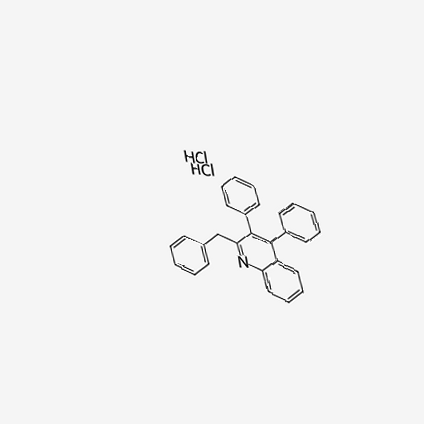 Cl.Cl.c1ccc(Cc2nc3ccccc3c(-c3ccccc3)c2-c2ccccc2)cc1